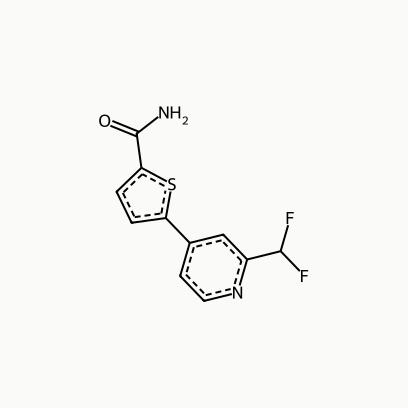 NC(=O)c1ccc(-c2ccnc(C(F)F)c2)s1